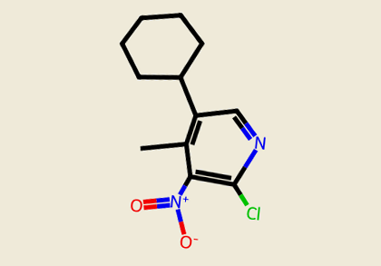 Cc1c(C2CCCCC2)cnc(Cl)c1[N+](=O)[O-]